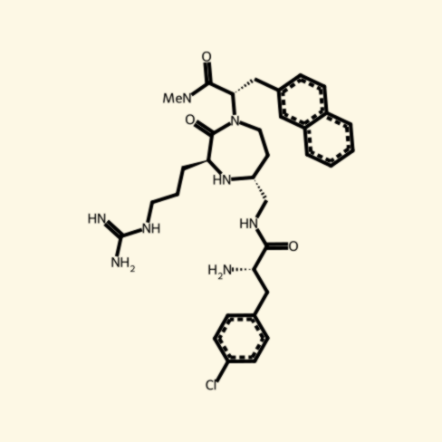 CNC(=O)[C@H](Cc1ccc2ccccc2c1)N1CC[C@H](CNC(=O)[C@@H](N)Cc2ccc(Cl)cc2)N[C@@H](CCCNC(=N)N)C1=O